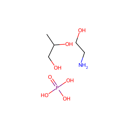 CC(O)CO.NCCO.O=P(O)(O)O